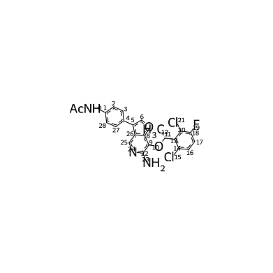 CC(=O)Nc1ccc(-c2coc3c(O[C@H](C)c4c(Cl)ccc(F)c4Cl)c(N)ncc23)cc1